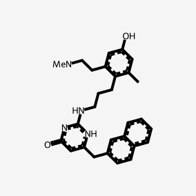 CNCCc1cc(O)cc(C)c1CCCNc1nc(=O)cc(Cc2ccc3ccccc3c2)[nH]1